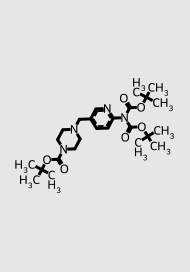 CC(C)(C)OC(=O)N1CCN(Cc2ccc(N(C(=O)OC(C)(C)C)C(=O)OC(C)(C)C)nc2)CC1